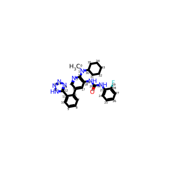 CN(c1ncc(-c2ccccc2-c2nnn[nH]2)cc1NC(=O)Nc1ccccc1F)C1CCCCC1